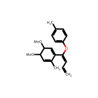 C=C/C=C(/Oc1ccc(C)cc1)C1=CC(OC)C(OC)C=C1C